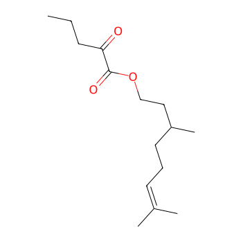 CCCC(=O)C(=O)OCCC(C)CCC=C(C)C